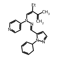 C=C(C)/C(=C\N(/N=C/c1ccnn1C1C=CC=CC1)c1ccncc1)CC